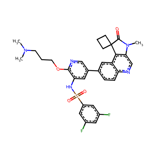 CN(C)CCCOc1ncc(-c2ccc3ncc4c(c3c2)C2(CCC2)C(=O)N4C)cc1NS(=O)(=O)c1cc(F)cc(F)c1